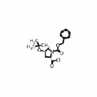 CC(C)(C)O[C@@H]1C[C@@H](C(=O)Cl)N(C(=O)OCc2ccccc2)C1